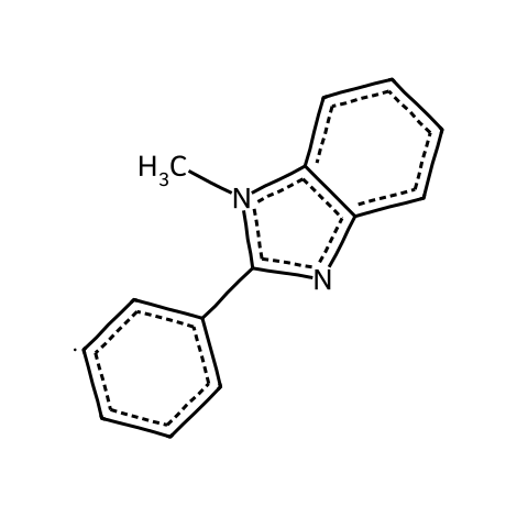 Cn1c(-c2c[c]ccc2)nc2ccccc21